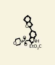 CCOC(=O)c1[nH]c2ccc(-c3cc4ccccc4o3)cc2c1S(=O)(=O)N1CCOCC1